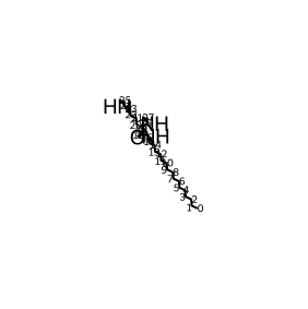 CCCCCCCCCCCCCCCCNC(=O)[C@H](CCCCNC)NC